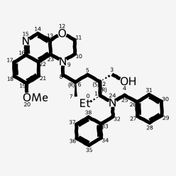 CC[C@H]([C@@H](CO)C[C@@H](C)CN1CCOc2cnc3ccc(OC)cc3c21)N(Cc1ccccc1)Cc1ccccc1